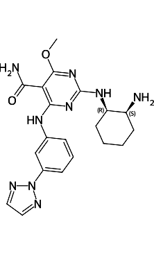 COc1nc(N[C@@H]2CCCC[C@@H]2N)nc(Nc2cccc(-n3nccn3)c2)c1C(N)=O